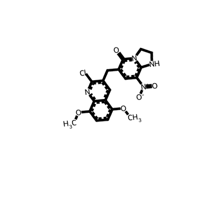 COc1ccc(OC)c2nc(Cl)c(Cc3cc([N+](=O)[O-])c4n(c3=O)CCN4)cc12